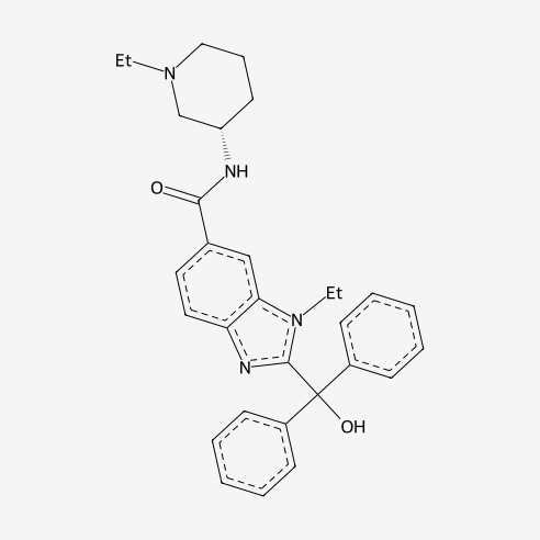 CCN1CCC[C@H](NC(=O)c2ccc3nc(C(O)(c4ccccc4)c4ccccc4)n(CC)c3c2)C1